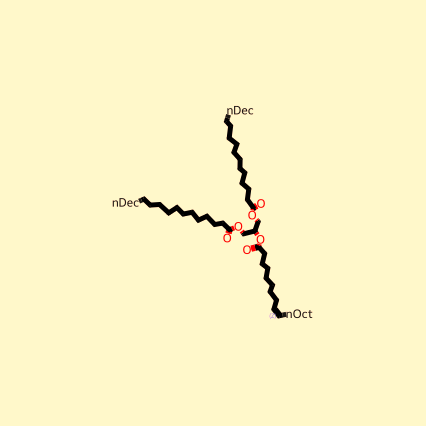 CCCCCCCC/C=C\CCCCCCCC(=O)OC(COC(=O)CCCCCCCCCCCCCCCCCCCCC)COC(=O)CCCCCCCCCCCCCCCCCCCCC